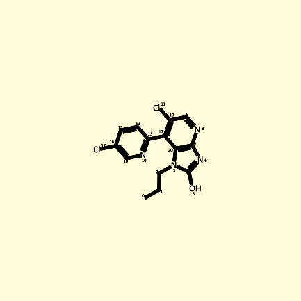 CCCn1c(O)nc2ncc(Cl)c(-c3ccc(Cl)cn3)c21